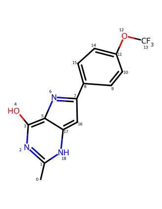 Cc1nc(O)c2nc(-c3ccc(OC(F)(F)F)cc3)cc-2[nH]1